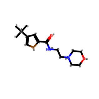 [CH3][Sn]([CH3])([CH3])[c]1csc(C(=O)NCCN2CCOCC2)c1